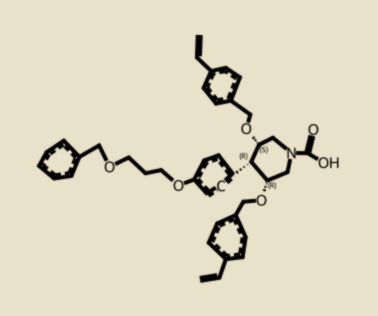 C=Cc1ccc(CO[C@H]2CN(C(=O)O)C[C@@H](OCc3ccc(C=C)cc3)[C@H]2c2ccc(OCCCOCc3ccccc3)cc2)cc1